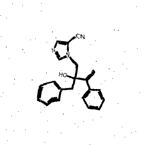 C=C(c1ccccc1)C(O)(Cc1ccccc1)Cn1cncc1C#N